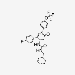 O=C(NCc1ccccc1)Nc1cc(=O)n(-c2ccc(OC(F)(F)F)cc2)cc1-c1ccc(F)cc1